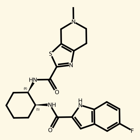 CN1CCc2nc(C(=O)N[C@@H]3CCCC[C@@H]3NC(=O)c3cc4cc(F)ccc4[nH]3)sc2C1